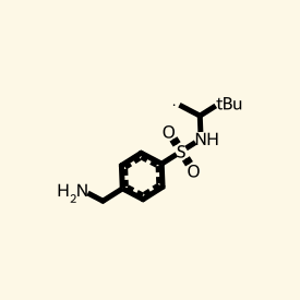 [CH2]C(NS(=O)(=O)c1ccc(CN)cc1)C(C)(C)C